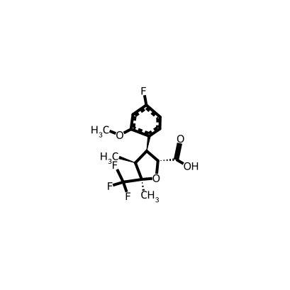 COc1cc(F)ccc1[C@H]1[C@H](C(=O)O)O[C@@](C)(C(F)(F)F)[C@H]1C